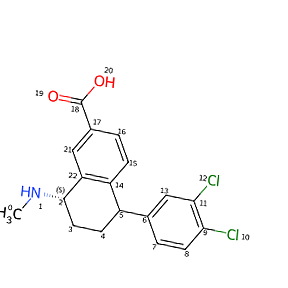 CN[C@H]1CCC(c2ccc(Cl)c(Cl)c2)c2ccc(C(=O)O)cc21